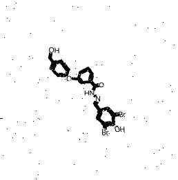 O=C(NN=Cc1cc(Br)c(O)c(Br)c1)c1cccc(Oc2ccc(CO)cc2)c1